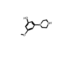 COc1cc(O)cc(N2CCNCC2)c1